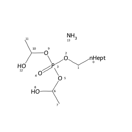 CCCCCCCCOP(=O)(OC(C)O)OC(C)O.N